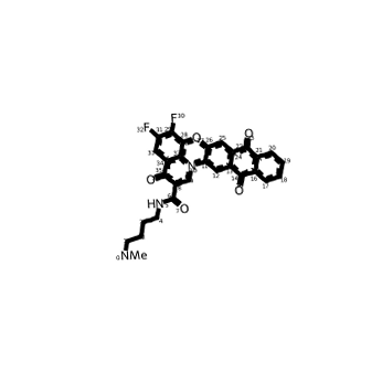 CNCCCCNC(=O)c1cn2c3cc4c(=O)c5ccccc5c(=O)c4cc3oc3c(F)c(F)cc(c1=O)c32